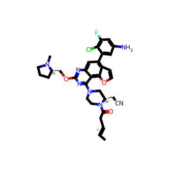 C/C=C/CC(=O)N1CCN(c2nc(OC[C@@H]3CCCN3C)nc3cc(-c4cc(N)cc(F)c4Cl)c4ccoc4c23)C[C@@H]1CC#N